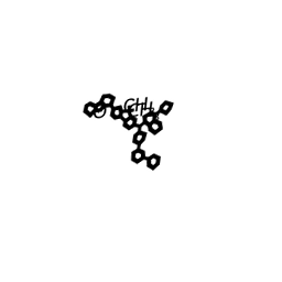 CC1(C)c2cc(-c3cccc4c3oc3ccccc34)ccc2-c2ccc(C(c3ccc(-c4cccc(-c5ccccc5)c4)cc3)c3ccc(-c4ccccc4)c4ccccc34)cc21